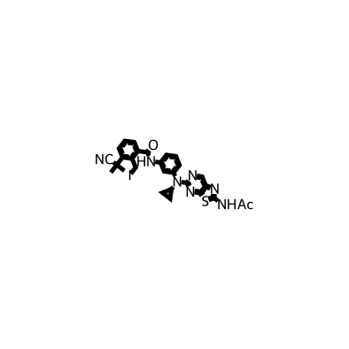 CC(=O)Nc1nc2cnc(N(c3cccc(NC(=O)c4cccc(C(C)(C)C#N)c4CI)c3)C3CC3)nc2s1